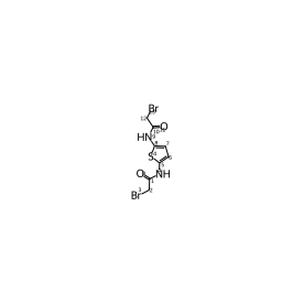 O=C(CBr)Nc1ccc(NC(=O)CBr)s1